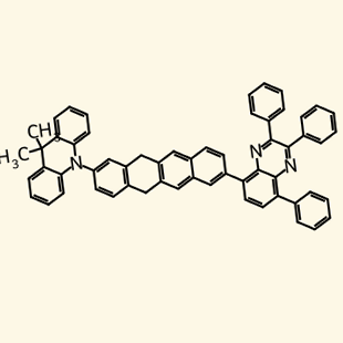 CC1(C)c2ccccc2N(c2ccc3c(c2)Cc2cc4ccc(-c5ccc(-c6ccccc6)c6nc(-c7ccccc7)c(-c7ccccc7)nc56)cc4cc2C3)c2ccccc21